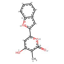 Cc1c(O)cc(-c2cc3ccccc3o2)oc1=O